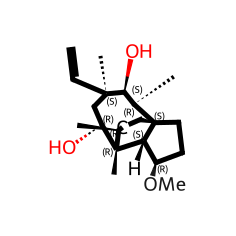 C=C[C@]1(C)C[C@@H](O)[C@]2(C)[C@H](C)CC[C@]3(CC[C@@H](OC)[C@@H]32)[C@@H](C)[C@@H]1O